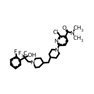 CN(C)C(=O)c1ccc(N2CCC(CC3CCN(CC(O)(c4ccccc4F)C(F)(F)F)CC3)CC2)nc1Cl